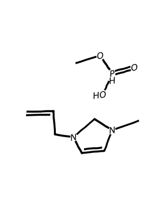 C=CCN1C=CN(C)C1.CO[PH](=O)O